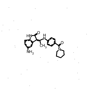 C/C(Nc1ccc(C(=O)N2CCCCC2)cc1)=C1/C(=O)Nc2ccc(N)cc21